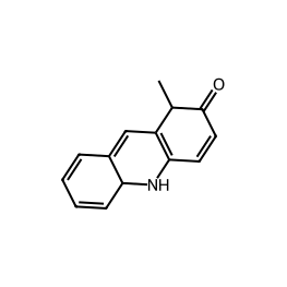 CC1C(=O)C=CC2=C1C=C1C=CC=CC1N2